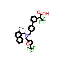 Cc1ccc2ccccc2c1CN(Cc1ccc(-c2cccc(C(C(=O)O)C(F)(F)F)c2)cc1)Cc1ccc(C(F)(F)F)o1